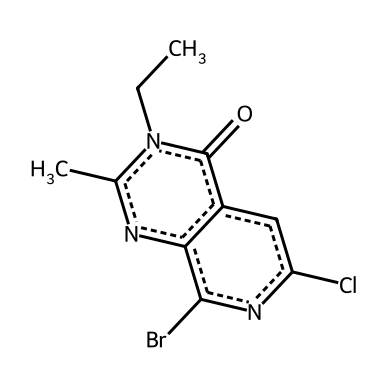 CCn1c(C)nc2c(Br)nc(Cl)cc2c1=O